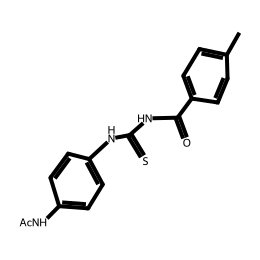 CC(=O)Nc1ccc(NC(=S)NC(=O)c2ccc(C)cc2)cc1